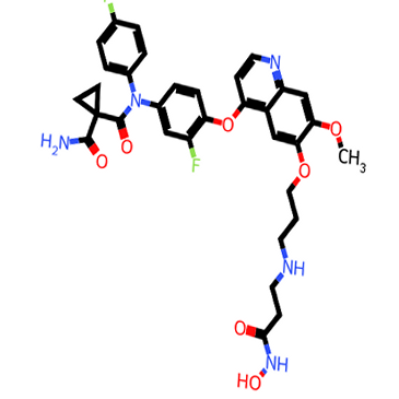 COc1cc2nccc(Oc3ccc(N(C(=O)C4(C(N)=O)CC4)c4ccc(F)cc4)cc3F)c2cc1OCCCNCCC(=O)NO